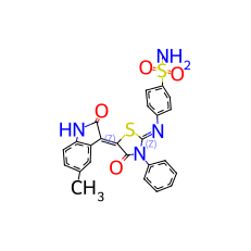 Cc1ccc2c(c1)/C(=C1/S/C(=N\c3ccc(S(N)(=O)=O)cc3)N(c3ccccc3)C1=O)C(=O)N2